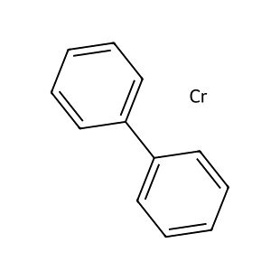 [Cr].c1ccc(-c2ccccc2)cc1